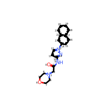 O=C(CN1CCOCC1)Nc1ccn(-c2ccc3ccccc3c2)n1